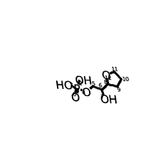 O=P(O)(O)OCC(O)C1CCCO1